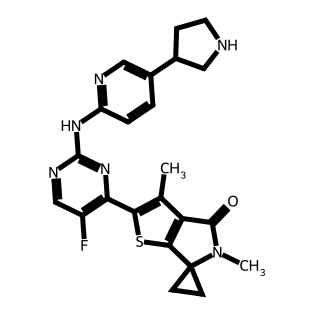 Cc1c(-c2nc(Nc3ccc(C4CCNC4)cn3)ncc2F)sc2c1C(=O)N(C)C21CC1